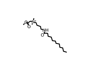 CCCCCCCCCCCC(=O)NCCCC[N+](C)(C)CC(=O)OC